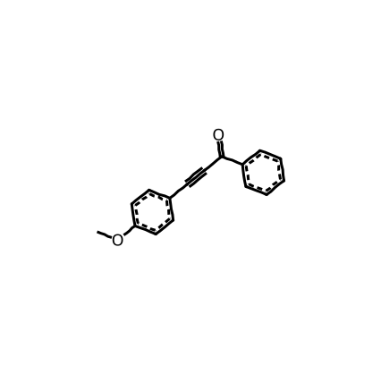 COc1ccc(C#CC(=O)c2ccccc2)cc1